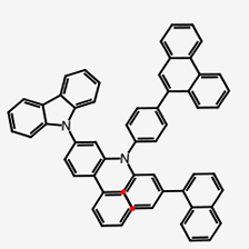 c1ccc(-c2ccc(-n3c4ccccc4c4ccccc43)cc2N(c2ccc(-c3cc4ccccc4c4ccccc34)cc2)c2cccc(-c3cccc4ccccc34)c2)cc1